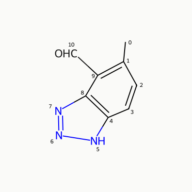 Cc1ccc2[nH]nnc2c1C=O